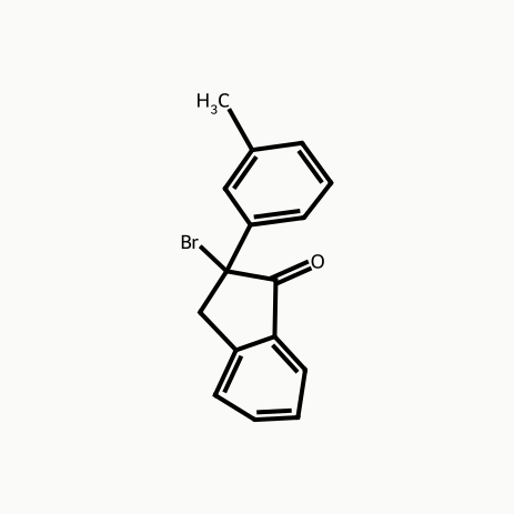 Cc1cccc(C2(Br)Cc3ccccc3C2=O)c1